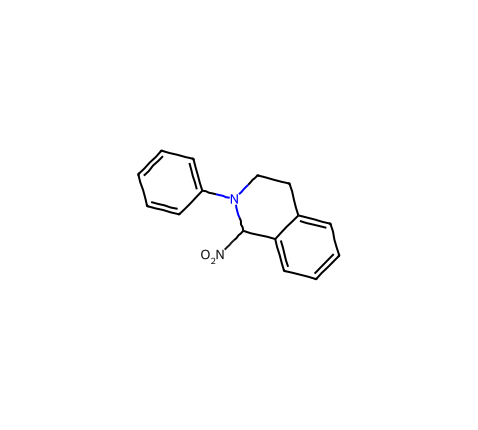 O=[N+]([O-])C1c2ccccc2CCN1c1ccccc1